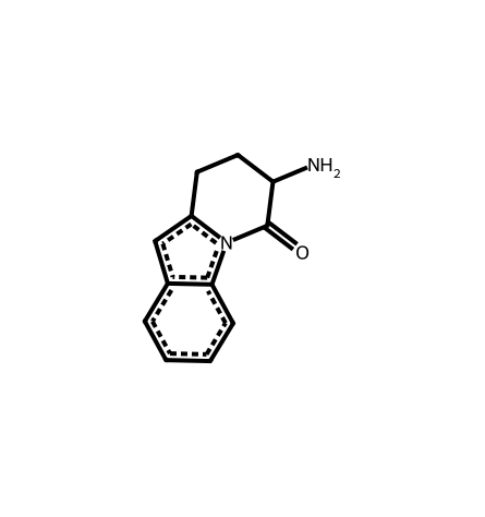 NC1CCc2cc3ccccc3n2C1=O